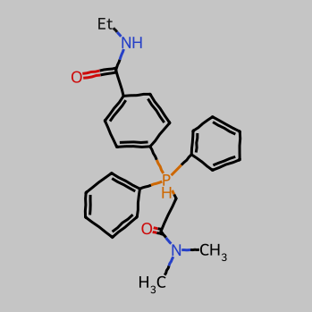 CCNC(=O)c1ccc([PH](CC(=O)N(C)C)(c2ccccc2)c2ccccc2)cc1